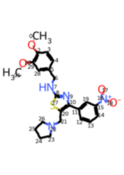 COc1ccc(CNc2nc(-c3cccc([N+](=O)[O-])c3)c(CN3CCCC3)s2)cc1OC